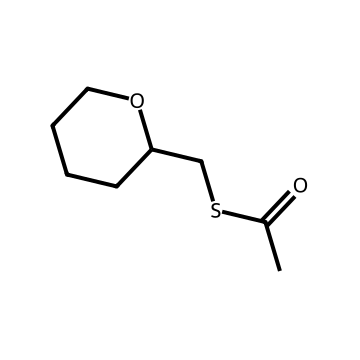 CC(=O)SCC1CCCCO1